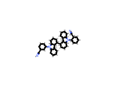 N#Cc1cccc(-n2c3ccccc3c3c(-c4cccc5c4c4ccccc4n5-c4ccccc4C#N)cccc32)c1